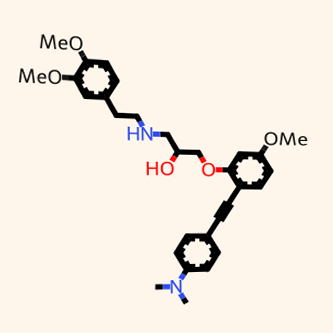 COc1ccc(C#Cc2ccc(N(C)C)cc2)c(OCC(O)CNCCc2ccc(OC)c(OC)c2)c1